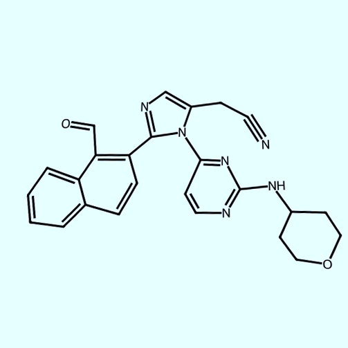 N#CCc1cnc(-c2ccc3ccccc3c2C=O)n1-c1ccnc(NC2CCOCC2)n1